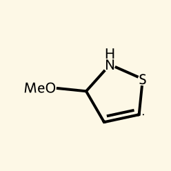 COC1C=[C]SN1